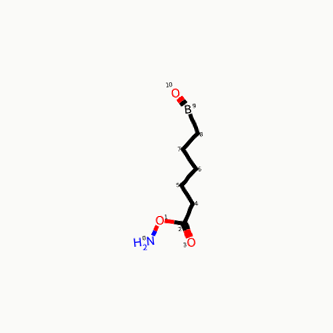 NOC(=O)CCCCCB=O